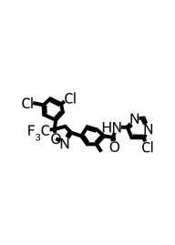 Cc1cc(C2=NOC(c3cc(Cl)cc(Cl)c3)(C(F)(F)F)C2)ccc1C(=O)Nc1cc(Cl)ncn1